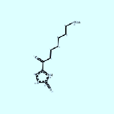 CCCCCCCCCCCCCCCC(=O)c1csc(=S)[nH]1